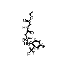 CCOC(=O)CNC(=O)CS(=O)(=O)Nc1ccc(F)cc1C(F)(F)F